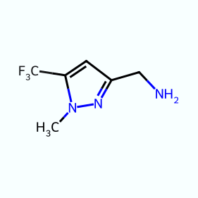 Cn1nc(CN)cc1C(F)(F)F